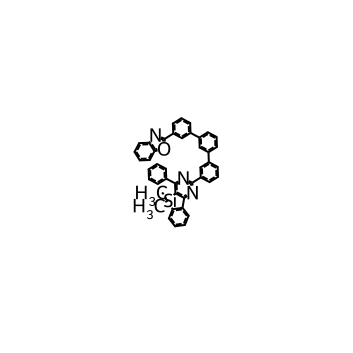 C[Si]1(C)c2ccccc2-c2nc(-c3cccc(-c4cccc(-c5cccc(-c6nc7ccccc7o6)c5)c4)c3)nc(-c3ccccc3)c21